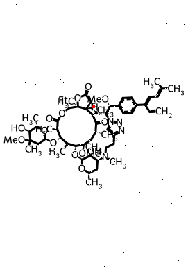 C=C/C(=C\C=C(C)C)c1ccc([C@@H](OC)[C@@H](CF)n2cc(CCN(C)[C@H]3C[C@@H](C)O[C@@H](O[C@@H]4[C@@H](C)[C@H](O[C@H]5C[C@@](C)(OC)[C@@H](O)[C@H](C)O5)[C@@H](C)C(=O)O[C@H](CC)[C@@]5(C)OC(=O)C[C@@H]5[C@@H](C)C(=O)[C@H](C)C[C@@]4(C)OC)[C@@H]3O)nn2)cc1